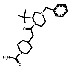 CC(C)(C)[C@H]1CN(Cc2ccccc2)CCN1C(=O)CC1CCN(C(N)=O)CC1